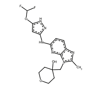 Cc1nc2ccc(Nc3cc(OC(F)F)[nH]n3)nc2n1CC1(O)CCOCC1